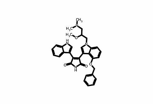 COC(CN(C)C)Cn1cc(C2=C(c3c[nH]c4ccccc34)C(=O)NC2=O)c2c(OCc3ccccc3)cccc21